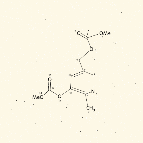 COC(=O)OCc1cnc(C)c(OC(=O)OC)c1